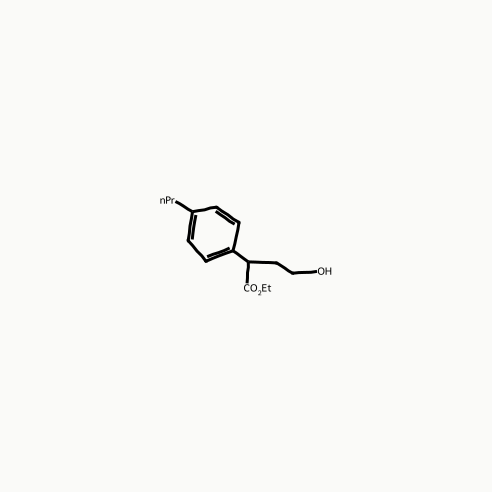 CCCc1ccc(C(CCO)C(=O)OCC)cc1